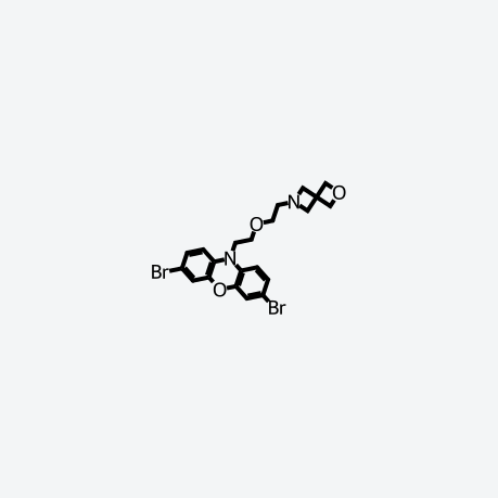 Brc1ccc2c(c1)Oc1cc(Br)ccc1N2CCOCCN1CC2(COC2)C1